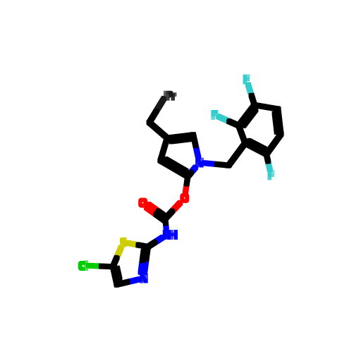 CC(C)Cc1cc(OC(=O)Nc2ncc(Cl)s2)n(Cc2c(F)ccc(F)c2F)c1